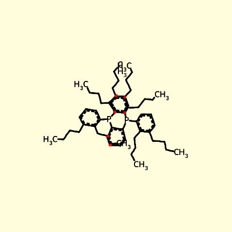 CCCCc1cccc(P(c2ccccc2P(c2cccc(CCCC)c2CCCC)c2cccc(CCCC)c2CCCC)c2cccc(CCCC)c2CCCC)c1CCCC